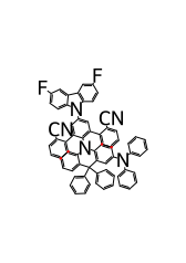 N#Cc1ccccc1-c1cc(-n2c3ccc(F)cc3c3cc(F)ccc32)cc(-c2ccccc2C#N)c1N1c2ccccc2C(c2ccccc2)(c2ccccc2)c2cc(N(c3ccccc3)c3ccccc3)ccc21